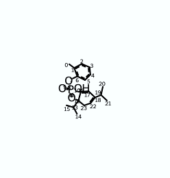 Cc1ccccc1OP(=O)(O)OC1(C(C)C)C=CC(C(C)C)=CC1